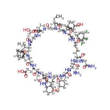 CCCC[C@H]1C(=O)N2CCC[C@@H]2C(=O)N[C@@H](CC(=O)O)C(=O)N[C@@H](C(C)C)C(=O)N(C)[C@@H](Cc2ccccc2)C(=O)N[C@@H](CCC(=O)O)C(=O)N2CCOC[C@@H]2C(=O)N[C@@H](Cc2c[nH]c3ccccc23)C(=O)N[C@@H](Cc2ccc(O)cc2)C(=O)N[C@@H](CN)C(=O)N[C@H](C(=O)NCC(N)=O)CSCC(=O)N[C@@H](Cc2cc(F)c(F)c(F)c2)C(=O)N(C)[C@@H](Cc2ccc(O)cc2)C(=O)N1C